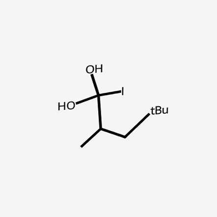 CC(CC(C)(C)C)C(O)(O)I